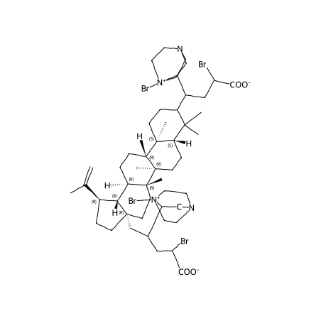 C=C(C)[C@@H]1CC[C@]2(CC(CC(Br)C(=O)[O-])C3CN4CC[N+]3(Br)CC4)CC[C@]3(C)[C@H](CC[C@@H]4[C@@]5(C)CCC(C(CC(Br)C(=O)[O-])C6CN7CC[N+]6(Br)CC7)C(C)(C)[C@@H]5CC[C@]43C)[C@@H]12